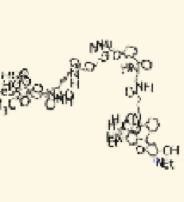 CC/N=c1/cc2oc3cc(NCC)c(C)cc3c(-c3ccccc3C(=O)N(C)CCCC(=O)NCCNC(=O)c3cccc(OCC(N=[N+]=[N-])OCCOCC(=O)NCC#Cc4cn([C@H]5CC(O[C@H](C)SSC)[C@@H](COP(=O)(O)O)O5)c(=O)[nH]c4=O)c3)c-2cc1C